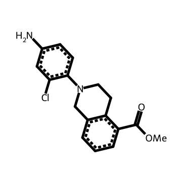 COC(=O)c1cccc2c1CCN(c1ccc(N)cc1Cl)C2